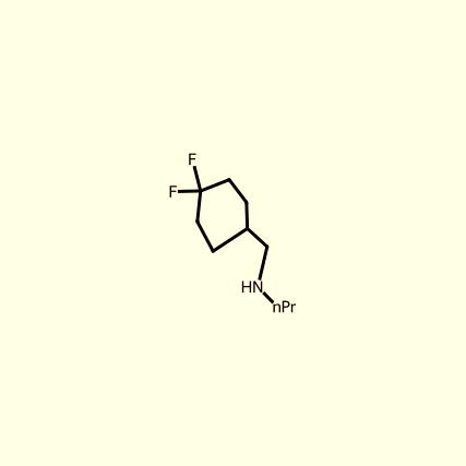 CCCNCC1CCC(F)(F)CC1